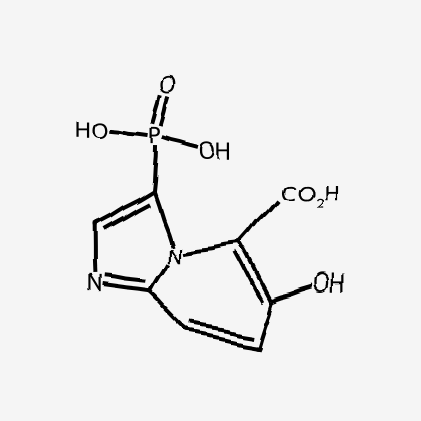 O=C(O)c1c(O)ccc2ncc(P(=O)(O)O)n12